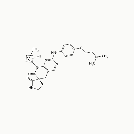 C[C@@H]1C2CC1(N1C(=O)[C@]3(CCNC3=O)Cc3cnc(Nc4ccc(OCCN(C)C)cc4)nc31)C2